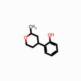 CC1CC(c2ccccc2O)CCO1